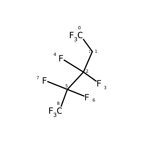 FC(F)(F)[C]C(F)(F)C(F)(F)C(F)(F)F